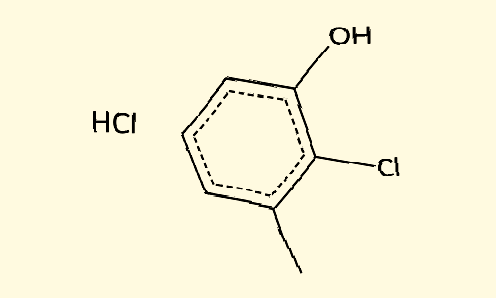 Cc1cccc(O)c1Cl.Cl